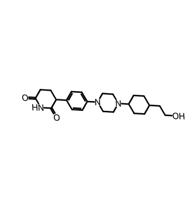 O=C1CCC(c2ccc(N3CCN(C4CCC(CCO)CC4)CC3)cc2)C(=O)N1